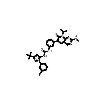 CNc1ncc2cc(-c3cccc(NC(=O)Nc4cc(C(C)(C)C)nn4-c4cccc(F)c4)c3)c(=O)n(C(C)C)c2n1